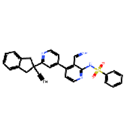 C#CC1(c2cc(-c3ccnc(NS(=O)(=O)c4ccccc4)c3C=N)ccn2)Cc2ccccc2C1